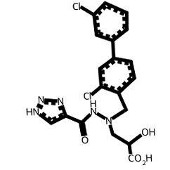 O=C(NN(Cc1ccc(-c2cccc(Cl)c2)cc1Cl)CC(O)C(=O)O)c1c[nH]nn1